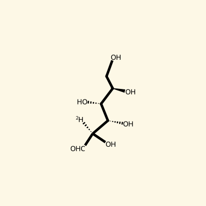 [2H][C@](O)(C=O)[C@@H](O)[C@H](O)[C@H](O)CO